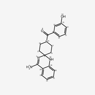 NC1=NC2(CCN(C(=O)c3cccc(O)c3)CC2)Nc2ccccc21